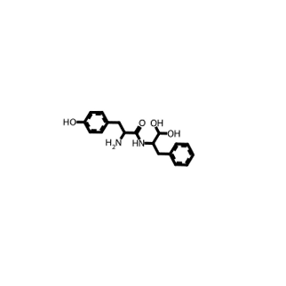 NC(Cc1ccc(O)cc1)C(=O)NC(Cc1ccccc1)C(O)O